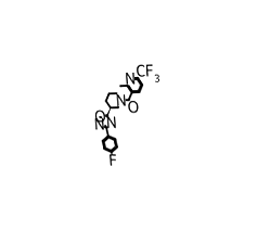 Cc1nc(C(F)(F)F)ccc1C(=O)N1CCC[C@H](c2nc(-c3ccc(F)cc3)no2)C1